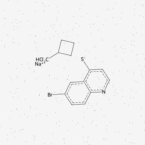 O=C(O)C1CCC1.[Na+].[S-]c1ccnc2ccc(Br)cc12